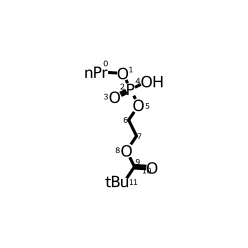 CCCOP(=O)(O)OCCOC(=O)C(C)(C)C